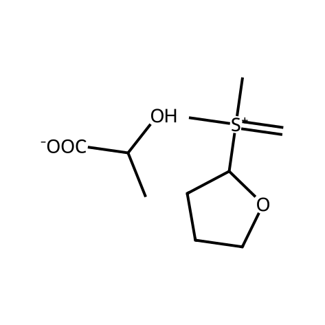 C=[S+](C)(C)C1CCCO1.CC(O)C(=O)[O-]